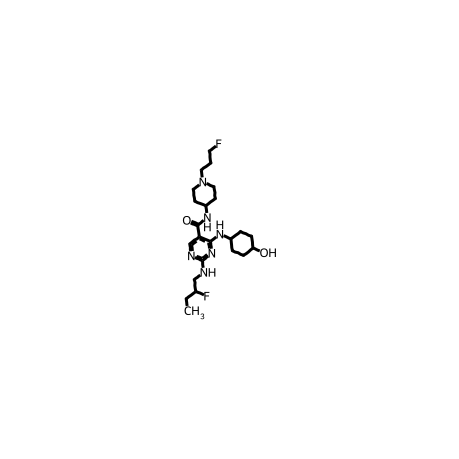 CCC(F)CNc1ncc(C(=O)NC2CCN(CCCF)CC2)c(NC2CCC(O)CC2)n1